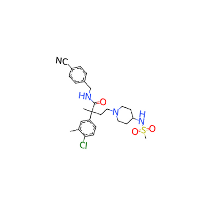 Cc1cc(C(C)(CCN2CCC(NS(C)(=O)=O)CC2)C(=O)NCc2ccc(C#N)cc2)ccc1Cl